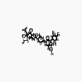 CCCn1c(=O)n(C2CC2)c(=O)c2[nH]c(-c3ccc(N(CC(O)COC)C(=O)Nc4ccc(F)c(F)c4)nc3)nc21